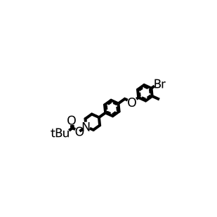 Cc1cc(OCc2ccc(C3CCN(OC(=O)C(C)(C)C)CC3)cc2)ccc1Br